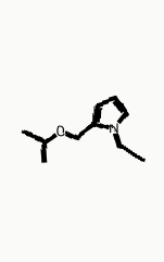 CCn1cccc1COC(C)C